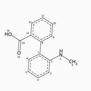 CNc1ccccc1-c1ccccc1C(=O)O